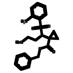 COCCN(C1(C(=O)OCc2ccccc2)CC1)S(=O)(=O)c1ccccc1[N+](=O)[O-]